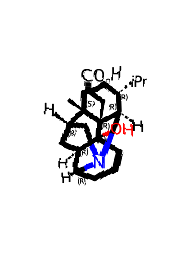 CC(C)[C@H]1CC[C@@]2(C)[C@H]3C[C@@H]4[C@H]5CCC[C@@]4(O)[C@@]2(CCC(=O)O)[C@@H]1N5C3